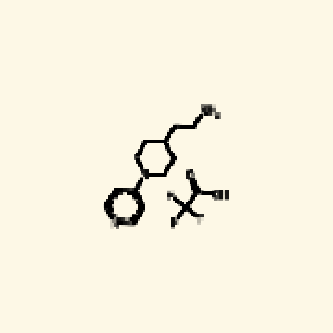 NCCC1CCN(c2ccncc2)CC1.O=C(O)C(F)(F)F